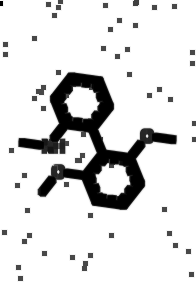 CNc1ccccc1-c1c(OC)cccc1OC